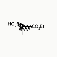 CCOC(=O)C=Cc1cnc2c(c1)CC1(CCN(C(=O)O)CC1)C(=O)N2